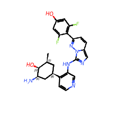 C[C@H]1C[C@@H](c2ccncc2Nc2ncc3ccc(-c4c(F)cc(O)cc4F)nn23)C[C@@H](N)[C@H]1O